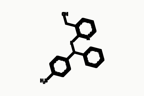 Bc1ccc(C(Sc2ncccc2CO)c2ccccc2)cc1